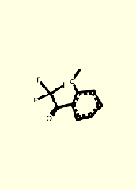 COc1ccccc1C(=O)C(F)(F)I